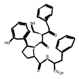 O=C(O)C(Cc1ccccc1)NC(=O)C1CCC(c2ccccc2O)N1C(=O)[C@@H](CS)C(=O)c1ccccc1